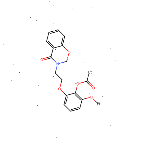 CCOc1cccc(OCCN2COc3ccccc3C2=O)c1OC(=O)CC